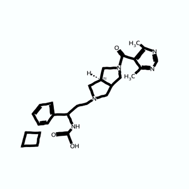 C1CCC1.Cc1ncnc(C)c1C(=O)N1CC2CN(CCC(NC(=O)O)c3ccccc3)C[C@H]2C1